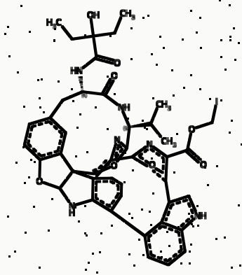 CCC(O)(CC)C(=O)N[C@H]1Cc2ccc3c(c2)C24c5cccc(c5NC2O3)-c2cccc3[nH]cc(c23)-c2oc(nc2C(=O)OCI)-c2nc(oc24)[C@H](C(C)C)NC1=O